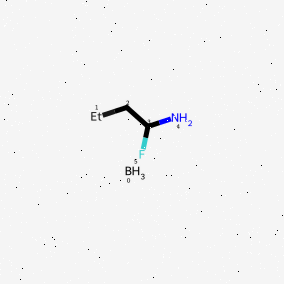 B.CCCC(N)F